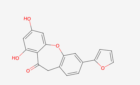 O=C1Cc2ccc(-c3ccco3)cc2Oc2cc(O)cc(O)c21